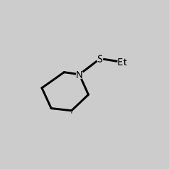 CCSN1C[CH]CCC1